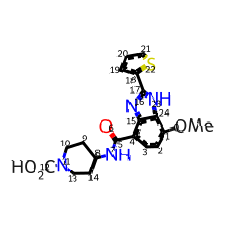 COc1ccc(C(=O)NC2CCN(C(=O)O)CC2)c2nc(-c3cccs3)[nH]c12